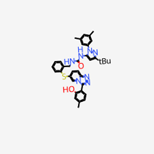 Cc1cc(C)cc(-n2nc(C(C)(C)C)cc2NC(=O)NCc2ccccc2Sc2ccc3nnc(-c4ccc(C)cc4O)n3c2)c1